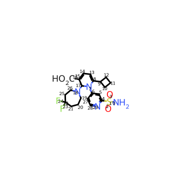 NS(=O)(=O)c1cc(N2C(C3CCC3)=CC=C(C(=O)O)C2N2CCCC(F)(F)CC2)ccn1